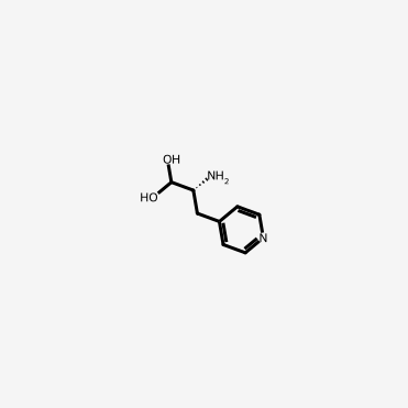 N[C@H](Cc1ccncc1)C(O)O